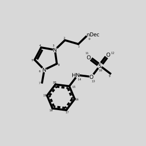 CCCCCCCCCCCCN1C=CN(C)C1.CS(=O)(=O)ONc1ccccc1